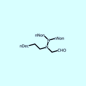 CCCCCCCCCCCCN(CC=O)N(CCCCCCCCC)CCCCCCCCC